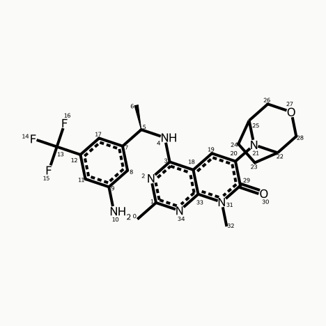 Cc1nc(N[C@H](C)c2cc(N)cc(C(F)(F)F)c2)c2cc(N3C4CCC3COC4)c(=O)n(C)c2n1